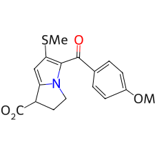 COc1ccc(C(=O)c2c(SC)cc3n2CCC3C(=O)O)cc1